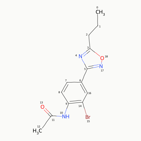 CCCc1nc(-c2ccc(NC(C)=O)c(Br)c2)no1